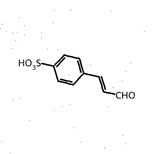 O=CC=Cc1ccc(S(=O)(=O)O)cc1